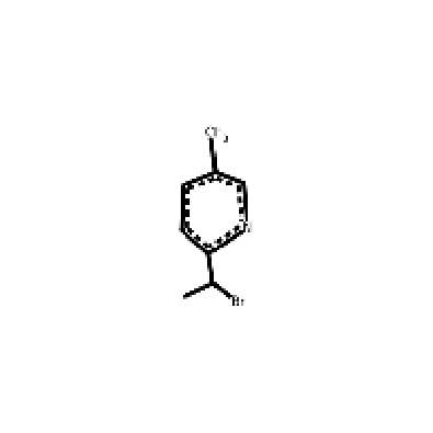 CC(Br)c1ccc(C(F)(F)F)cn1